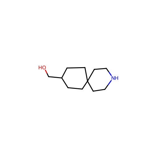 OCC1CCC2(CCNCC2)CC1